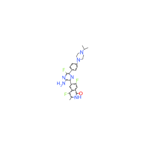 Cc1[nH]c(=O)c2cc(F)c(-c3nc(-c4ccc(N5CCN(C(C)C)CC5)cc4)c(F)nc3N)cc2c1F